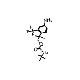 CC(C)(C)NC(=O)OCC(C)(C)c1ccc(N)cc1C(F)(F)F